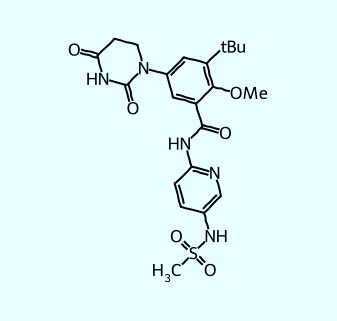 COc1c(C(=O)Nc2ccc(NS(C)(=O)=O)cn2)cc(N2CCC(=O)NC2=O)cc1C(C)(C)C